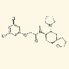 CN(C(=O)COc1cc(Cl)cc(Cl)c1)[C@@H]1CC[C@]2(CCCO2)C[C@H]1N1CCCC1